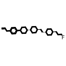 C=CCc1ccc(C2CCC([C@H]3CC[C@H](CC[C@H]4CC[C@H](CCCF)CC4)CC3)CC2)cc1